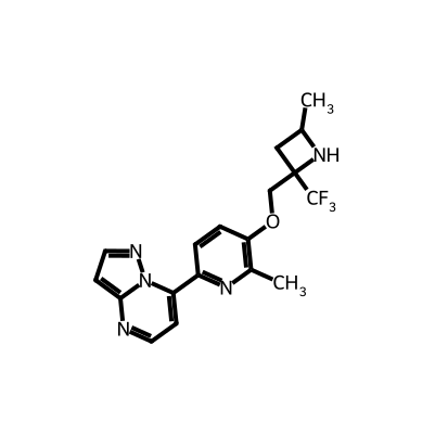 Cc1nc(-c2ccnc3ccnn23)ccc1OCC1(C(F)(F)F)CC(C)N1